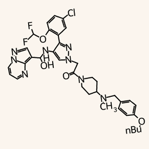 CCCCOc1ccc(CN(C)C2CCN(C(=O)Cn3cc(NC(O)c4cnn5cccnc45)c(-c4cc(Cl)ccc4OC(F)F)n3)CC2)cc1